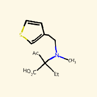 CCC(C(C)=O)(C(=O)O)N(C)Cc1ccsc1